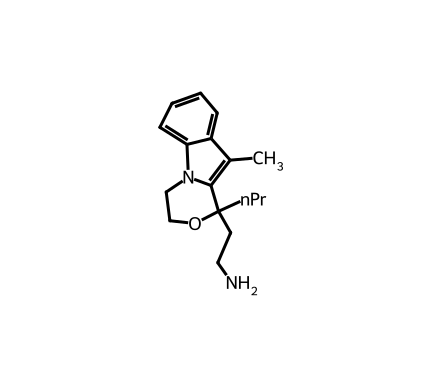 CCCC1(CCN)OCCn2c1c(C)c1ccccc12